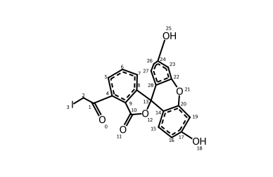 O=C(CI)c1cccc2c1C(=O)OC21c2ccc(O)cc2Oc2cc(O)ccc21